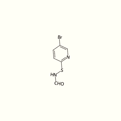 O=CNSc1ccc(Br)cn1